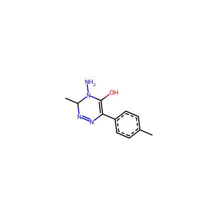 Cc1ccc(C2=C(O)N(N)C(C)N=N2)cc1